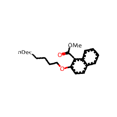 CCCCCCCCCCCCCCOc1ccc2ccccc2c1C(=O)OC